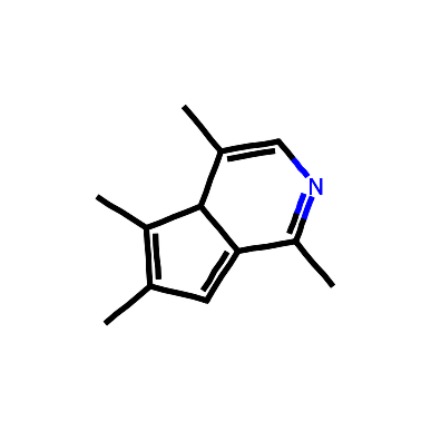 CC1=CN=C(C)C2=CC(C)=C(C)C12